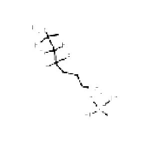 CC[N+](CC)(CC)CC.O=S(=O)(O)C(F)(F)C(F)(F)C(F)(F)CCCC(F)(F)F